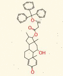 CC1CC2C3CCC4=CC(=O)C=CC4(C)C3C(O)CC2(C)C1OC(=O)C[C@@H](C)OC(c1ccccc1)(c1ccccc1)c1ccccc1